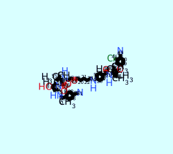 C[C@H](NC(=O)[C@@H]1C[C@@H](O)CN1C(=O)[C@@H](NC(=O)COCCCCCNc1ccc(C(=O)N[C@H]2C(C)(C)[C@H](Oc3ccc(C#N)c(Cl)c3)C2(C)C)cc1)C(C)(C)C)c1ccc(C#N)cc1